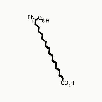 CC[C@H](CCCCCCC=CC=CC=CC=CC=CC(=O)O)OO